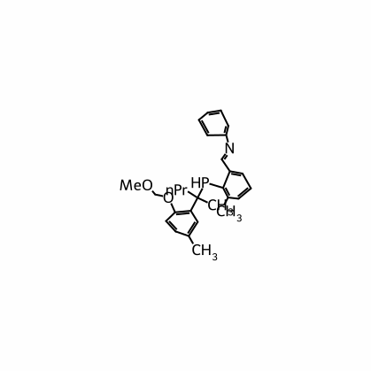 CCCC(C)(Pc1c(C)cccc1/C=N/c1ccccc1)c1cc(C)ccc1OCOC